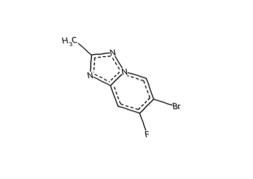 Cc1nc2cc(F)c(Br)cn2n1